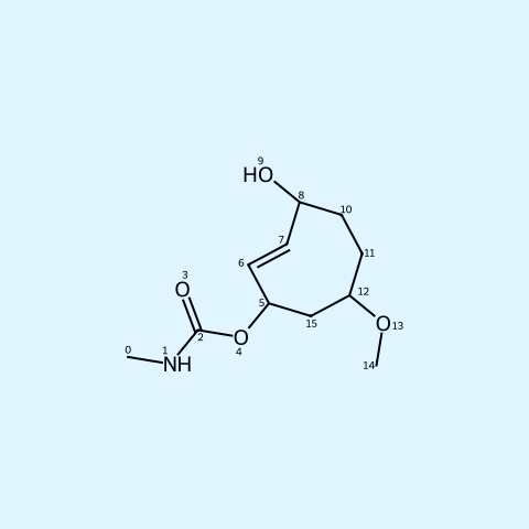 CNC(=O)OC1/C=C/C(O)CCC(OC)C1